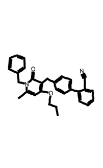 CCCOc1cc(C)n(Cc2ccccc2)c(=O)c1Cc1ccc(-c2ccccc2C#N)cc1